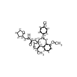 COc1cccc2c1CN(c1ccc(Cl)cc1)C[N+]1(CC(=O)NCC3CCCO3)CSC(C)=C21